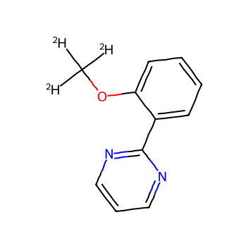 [2H]C([2H])([2H])Oc1ccccc1-c1ncccn1